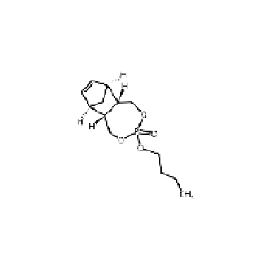 CCCCOP1(=O)OC[C@@H]2[C@H](CO1)[C@H]1C=C[C@@H]2C1